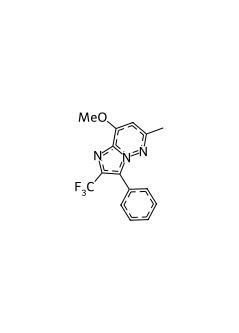 COc1cc(C)nn2c(-c3ccccc3)c(C(F)(F)F)nc12